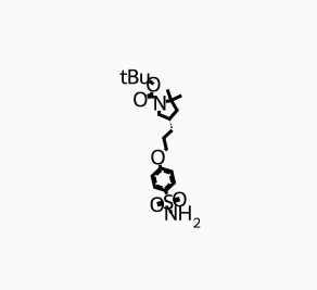 CC(C)(C)OC(=O)N1C[C@@H](CCCOc2ccc(S(N)(=O)=O)cc2)CC1(C)C